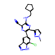 Cn1ccc(-c2nc(NCC3CCCC3)c(C#N)nc2-c2cc(Cl)c3[nH]ncc3c2)n1